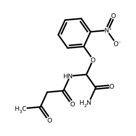 CC(=O)CC(=O)NC(Oc1ccccc1[N+](=O)[O-])C(N)=O